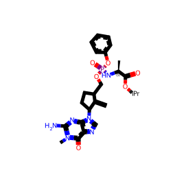 C=C1C(COP(=O)(N[C@@H](C)C(=O)OC(C)C)Oc2ccccc2)CCC1n1cnc2c(=O)n(C)c(N)nc21